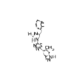 Cc1cc2[nH]ncc2cc1-c1nnc(NC[C@@H](N)Cc2ccccc2)s1